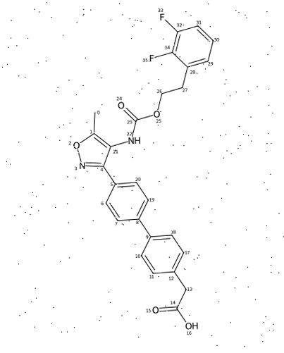 Cc1onc(-c2ccc(-c3ccc(CC(=O)O)cc3)cc2)c1NC(=O)OCCc1cccc(F)c1F